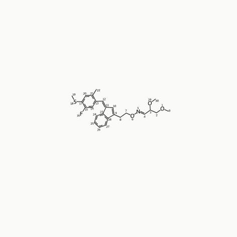 COCC(C=NOCCC1=C/C(=C/c2cc(F)c(SC)cc2C)c2ccccc21)OC